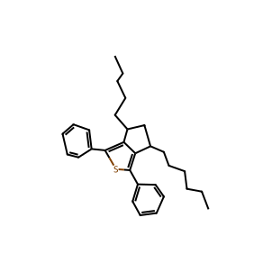 CCCCCCC1CC(CCCCC)c2c(-c3ccccc3)sc(-c3ccccc3)c21